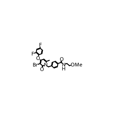 COCCNC(=O)c1ccc(Cn2c(C)cc(Oc3ccc(F)cc3F)c(Br)c2=O)cc1